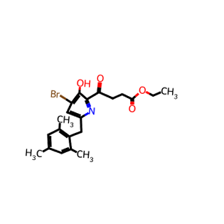 CCOC(=O)CCC(=O)c1nc(Cc2c(C)cc(C)cc2C)cc(Br)c1O